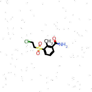 Cc1c(C(N)=O)cccc1S(=O)(=O)CCCl